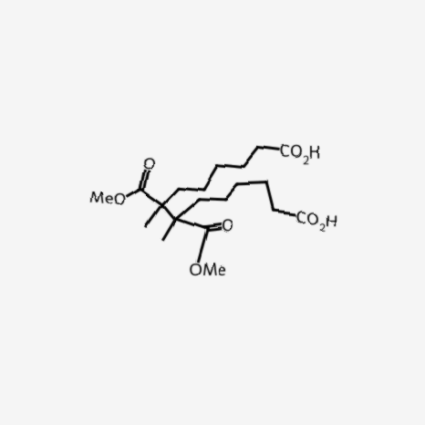 COC(=O)C(C)(CCCCCC(=O)O)C(C)(CCCCCC(=O)O)C(=O)OC